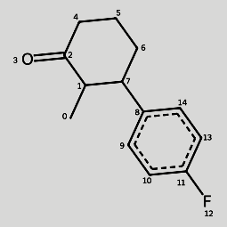 CC1C(=O)CCCC1c1ccc(F)cc1